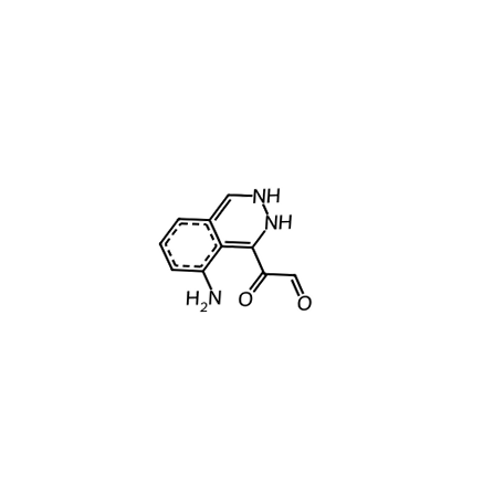 Nc1cccc2c1=C(C(=O)C=O)NNC=2